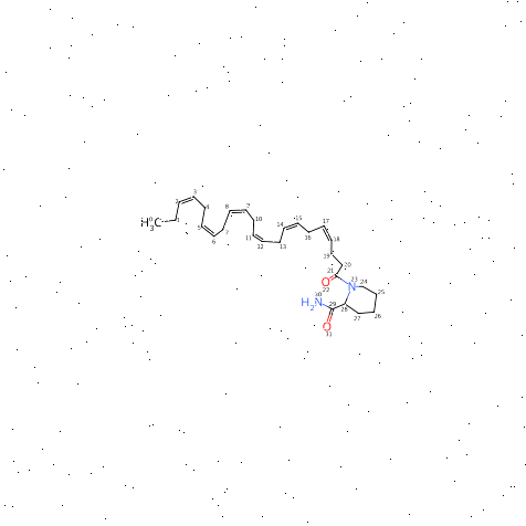 CC/C=C\C/C=C\C/C=C\C/C=C\C/C=C\C/C=C\CCC(=O)N1CCCCC1C(N)=O